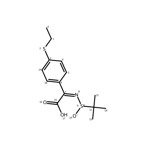 CCSc1ccc(C(=N[S+]([O-])C(C)(C)C)C(=O)O)cc1